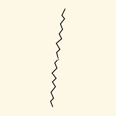 CCCCCCCCCCSCCCCCCCCCC